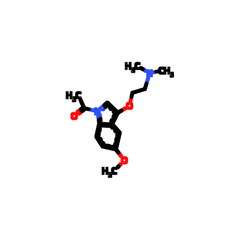 COc1ccc2c(c1)c(OCCN(C)C)cn2C(C)=O